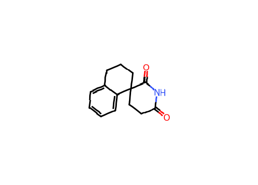 O=C1CCC2(CCCc3ccccc32)C(=O)N1